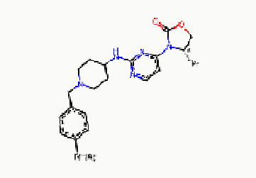 CC(=O)Nc1ccc(CN2CCC(Nc3nccc(N4C(=O)OC[C@@H]4C(C)C)n3)CC2)cc1